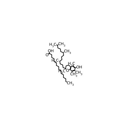 CCCCCCCCCCCCCCCC(=O)O.Cc1c(C)c2c(c(C)c1O)CC[C@@](C)(CCC[C@H](C)CCC[C@H](C)CCCC(C)C)O2